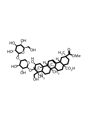 COC(=O)[C@@]1(C)CC[C@]2(C(=O)O)CC[C@]3(C)C(=CC[C@@H]4[C@@]5(C)C[C@H](O)[C@H](O[C@@H]6OC[C@@H](O[C@@H]7O[C@H](CO)[C@@H](O)[C@H](O)[C@H]7O)[C@H](O)[C@H]6O)[C@@](C)(CO)[C@@H]5CC[C@]43C)[C@@H]2C1